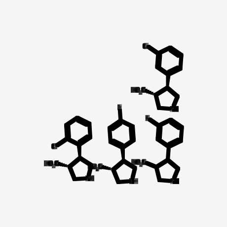 O=C(O)C1CNCC1c1cccc(F)c1.O=C(O)[C@H]1CNC[C@@H]1c1ccc(F)cc1.O=C(O)[C@H]1CNC[C@@H]1c1cccc(Cl)c1.O=C(O)[C@H]1CNC[C@@H]1c1ccccc1Cl